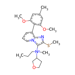 CCC[N+](C)(c1c(SC)nc2c(-c3c(OC)cc(C)cc3OC)cccn12)C1CCOC1